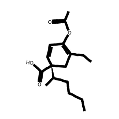 CCCCC(C)[C@@]1(C(=O)O)C=CC(OC(C)=O)=C(CC)C1